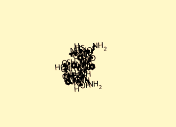 CC(O)[C@H](NC(=O)[C@H](CCCCN)NC(=O)[C@@H](Cc1c[nH]c2ccccc12)NC(=O)[C@H](Cc1ccccc1)NC(=O)[C@@H](Cc1ccccc1)NC(=O)[C@H](C)NC(=O)[C@H](CCCCN)NC(=O)[C@H](CS)NC(=O)CNC(=O)[C@H](N)C(C)C)C(=O)N[C@H](Cc1ccccc1)C(=O)N[C@H](C(=O)N[C@@H](CO)C(=O)N[C@@H](CS)C(=O)O)C(C)O